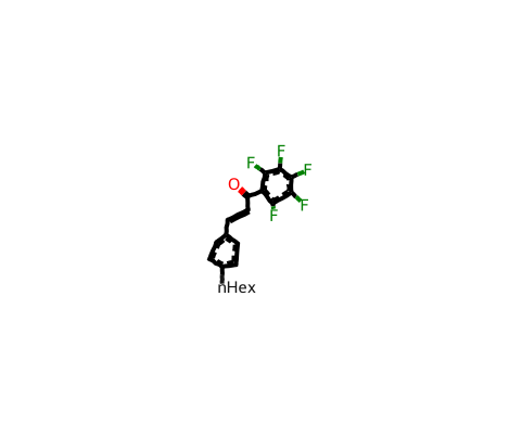 CCCCCCc1ccc(C=CC(=O)c2c(F)c(F)c(F)c(F)c2F)cc1